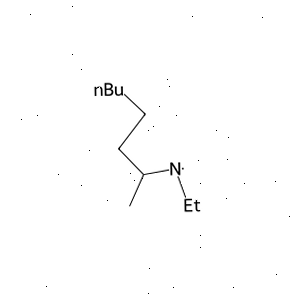 CCCCCCC(C)[N]CC